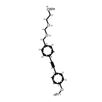 CCCOc1ccc(C#Cc2ccc(COCOCCOC)cc2)cc1